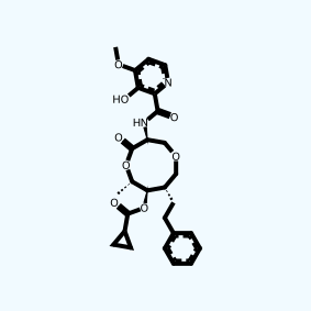 COc1ccnc(C(=O)N[C@H]2COC[C@H](CCc3ccccc3)[C@@H](OC(=O)C3CC3)[C@H](C)OC2=O)c1O